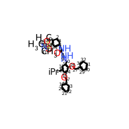 Cc1ccc(NC(=O)N/N=C/c2cc(C(C)C)c(OCc3ccccc3)cc2OCc2ccccc2)cc1S(=O)(=O)N(C)C